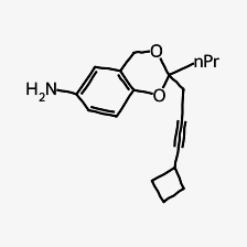 CCCC1(CC#CC2CCC2)OCc2cc(N)ccc2O1